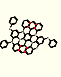 c1ccc(Oc2cc3c4c(c2)N(c2ccccc2)c2c(c(-c5ccccc5)c5c(c2-c2ccccc2)N(c2ccccc2)c2cc(Oc6ccccc6)cc6c2B5c2ccccc2N6c2ccccc2)B4c2ccccc2O3)cc1